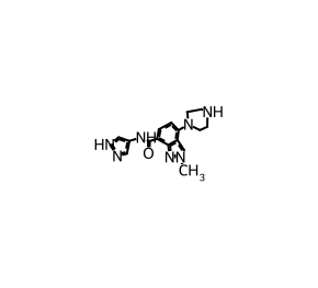 Cn1cc2c(N3CCNCC3)ccc(C(=O)Nc3cn[nH]c3)c2n1